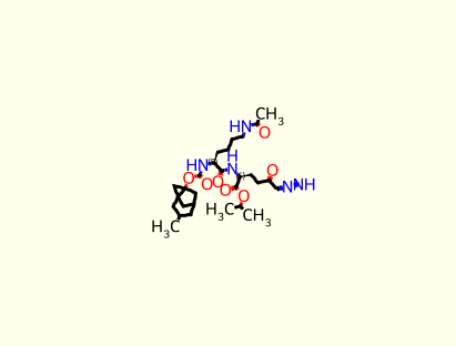 CC(=O)NCCCC[C@H](NC(=O)OC12CC3CC(C)CC1(C3)C2)C(=O)N[C@@H](CCC(=O)C=[N+]=N)C(=O)OC(C)C